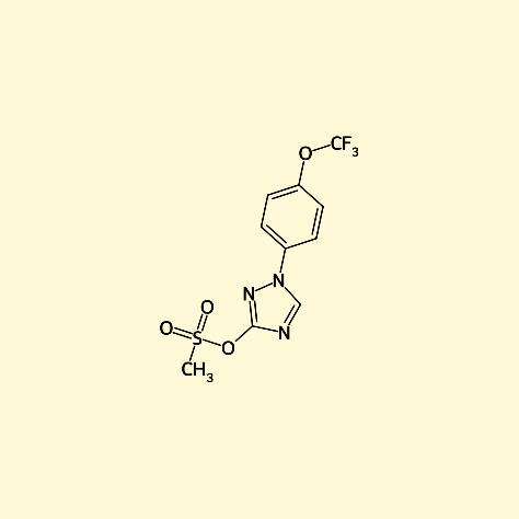 CS(=O)(=O)Oc1ncn(-c2ccc(OC(F)(F)F)cc2)n1